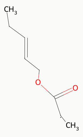 C[CH]C(=O)OC/C=C/CC